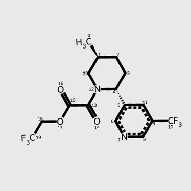 C[C@H]1CC[C@H](c2cncc(C(F)(F)F)c2)N(C(=O)C(=O)OCC(F)(F)F)C1